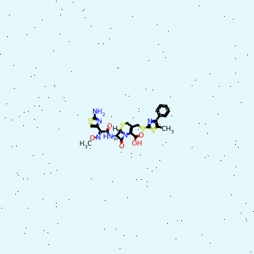 CON=C(C(=O)N[C@@H]1C(=O)N2C(C(=O)O)=C(CSc3nc(-c4ccccc4)c(C)s3)CS[C@@H]12)c1csc(N)n1